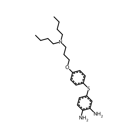 CCCCN(CCCC)CCCOc1ccc(Sc2ccc(N)c(N)c2)cc1